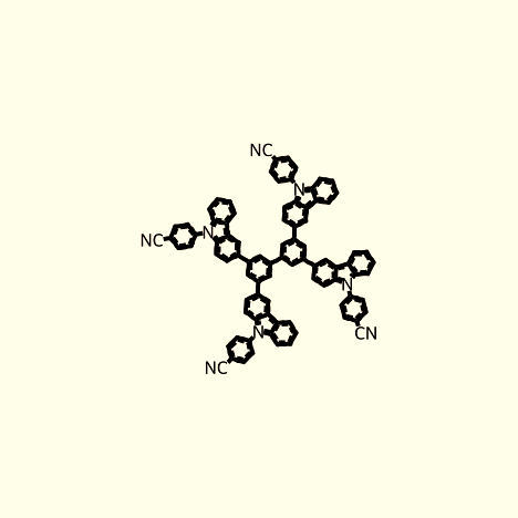 N#Cc1ccc(-n2c3ccccc3c3cc(-c4cc(-c5cc(-c6ccc7c(c6)c6ccccc6n7-c6ccc(C#N)cc6)cc(-c6ccc7c(c6)c6ccccc6n7-c6ccc(C#N)cc6)c5)cc(-c5ccc6c(c5)c5ccccc5n6-c5ccc(C#N)cc5)c4)ccc32)cc1